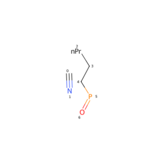 C#N.CCCCCP=O